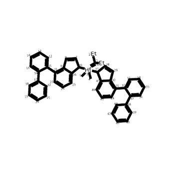 CC[C](CC)=[Hf]([CH3])([CH3])([CH]1C=Cc2c(-c3ccccc3-c3ccccc3)cccc21)[CH]1C=Cc2c(-c3ccccc3-c3ccccc3)cccc21